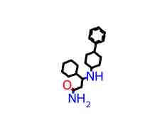 NC(=O)CC(NC1CCC(c2ccccc2)CC1)C1CCCCC1